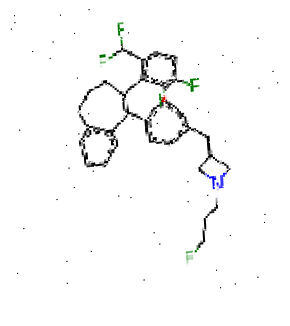 FCCCN1CC(Cc2ccc(C3=C(c4c(C(F)F)ccc(F)c4F)CCCc4ccccc43)cc2)C1